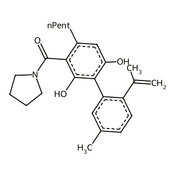 C=C(C)c1ccc(C)cc1-c1c(O)cc(CCCCC)c(C(=O)N2CCCC2)c1O